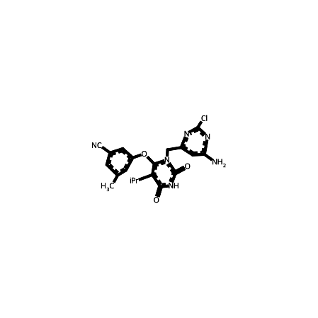 Cc1cc(C#N)cc(Oc2c(C(C)C)c(=O)[nH]c(=O)n2Cc2cc(N)nc(Cl)n2)c1